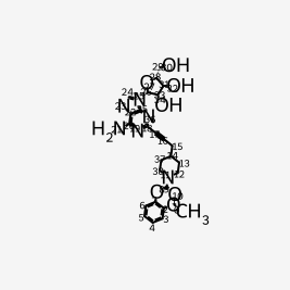 COc1ccccc1OC(=O)N1CCC(CC#Cc2nc(N)c3ncn([C@@H]4O[C@H](CO)C(O)[C@@H]4O)c3n2)CC1